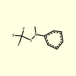 CN(SC(F)(F)F)c1ccccc1